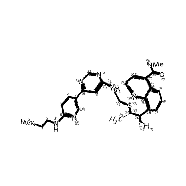 CNCCNc1ccc(-c2cc(NCS[C@@H](C)C(C)c3cccc4c(C(=O)NC)ccnc34)ncn2)cn1